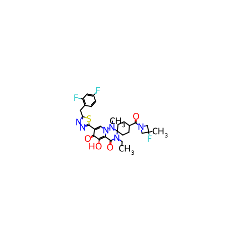 CCN1C(=O)c2c(O)c(=O)c(-c3nnc(Cc4ccc(F)cc4F)s3)cn2N(C)C12CCC(C(=O)N1CC(C)(F)C1)CC2